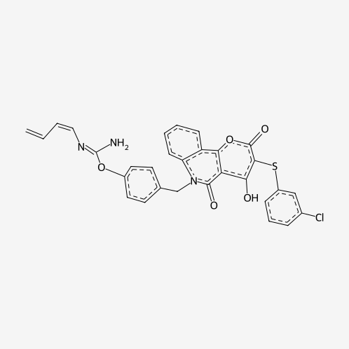 C=C/C=C\N=C(/N)Oc1ccc(Cn2c(=O)c3c(O)c(Sc4cccc(Cl)c4)c(=O)oc3c3ccccc32)cc1